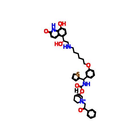 O=C(NC(c1cccc(OCCCCCCNC[C@H](O)c2ccc(O)c3[nH]c(=O)ccc23)c1)c1cccs1)O[C@H]1C[N+]2(CC(=O)c3ccccc3)CCC1CC2